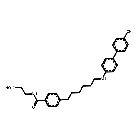 N#Cc1ccc(-c2ccc(NCCCCCCc3ccc(C(=O)NCCC(=O)O)cc3)cc2)cc1